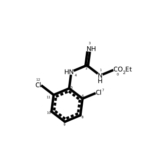 CCOC(=O)NC(=N)Nc1c(Cl)cccc1Cl